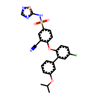 CC(C)Oc1cccc(-c2cc(F)ccc2Oc2ccc(S(=O)(=O)Nc3ncns3)cc2C#N)c1